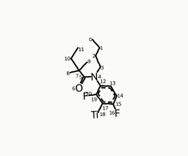 CCCCN(C(=O)C(C)(C)CC)c1ccc(F)[c]([Ti])c1F